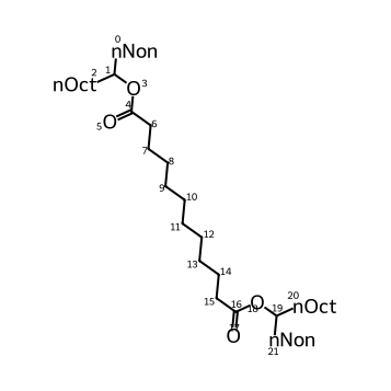 CCCCCCCCCC(CCCCCCCC)OC(=O)CCCCCCCCCCC(=O)OC(CCCCCCCC)CCCCCCCCC